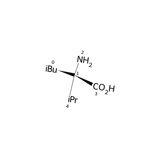 CC[C@H](C)[C@@](N)(C(=O)O)C(C)C